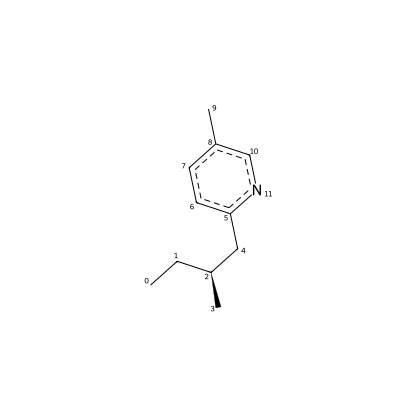 CC[C@H](C)Cc1ccc(C)cn1